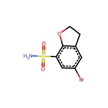 NS(=O)(=O)c1cc(Br)cc2c1OCC2